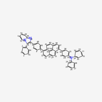 c1ccc(-c2c(-c3ccc(-c4ccc5ccc6c(-c7ccc(N(c8ccccc8)c8ccccc8)cc7)ccc7ccc4c5c76)cc3)nc3ccccn23)cc1